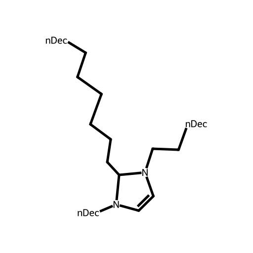 CCCCCCCCCCCCCCCCC1N(CCCCCCCCCC)C=CN1CCCCCCCCCCCC